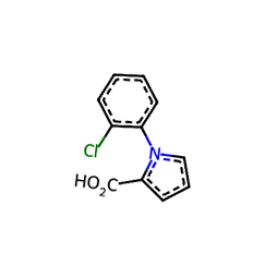 O=C(O)c1cccn1-c1ccccc1Cl